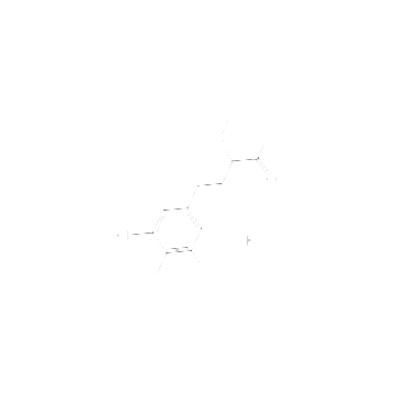 COC(CCc1cc(Cl)c(C)c(Cl)c1)C(=O)[O-].[K+]